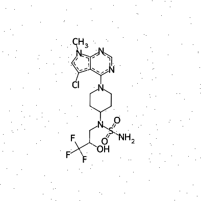 Cn1cc(Cl)c2c(N3CCC(N(CC(O)C(F)(F)F)S(N)(=O)=O)CC3)ncnc21